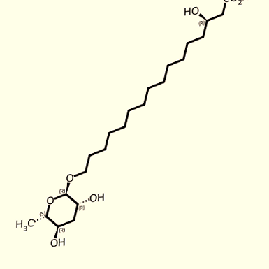 C[C@@H]1O[C@@H](OCCCCCCCCCCCCC[C@@H](O)CC(=O)O)[C@H](O)C[C@H]1O